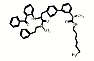 CCCCCCCNC(=O)N(C)c1cccc(-c2ccc(CC(Nc3ccccc3C(=O)c3ccccc3)C(=O)N(C)CCc3ccccc3)cc2)c1